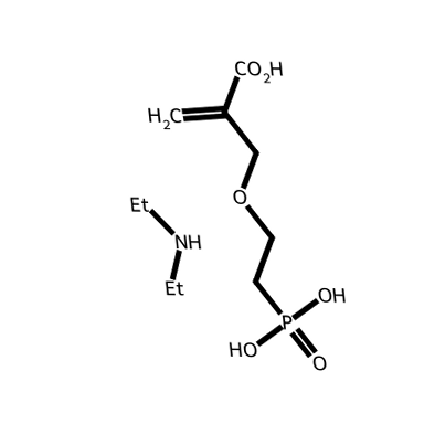 C=C(COCCP(=O)(O)O)C(=O)O.CCNCC